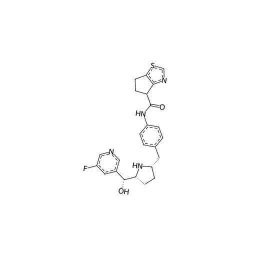 O=C(Nc1ccc(C[C@@H]2CC[C@H]([C@H](O)c3cncc(F)c3)N2)cc1)C1CCc2scnc21